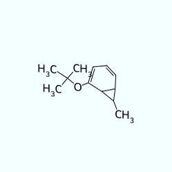 CC1C2C=CC=C(OC(C)(C)C)C12